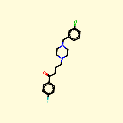 O=C(CCCN1CCN(Cc2cccc(Cl)c2)CC1)c1ccc(F)cc1